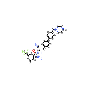 CC1CC(C(F)(F)F)CC(N)(C(=O)N[C@H](C#N)Cc2ccc(-c3ccc(CN4CCN(C)CC4)cc3)cc2)C1